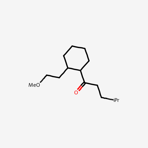 COCCC1CCCCC1C(=O)CCC(C)C